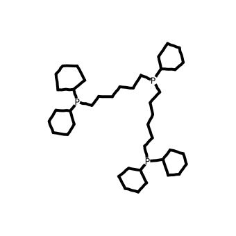 C1CCC(P(CCCCCCP(C2CCCCC2)C2CCCCC2)CCCCCCP(C2CCCCC2)C2CCCCC2)CC1